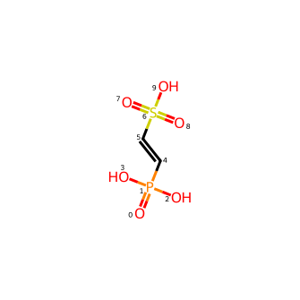 O=P(O)(O)C=CS(=O)(=O)O